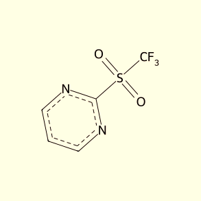 O=S(=O)(c1ncccn1)C(F)(F)F